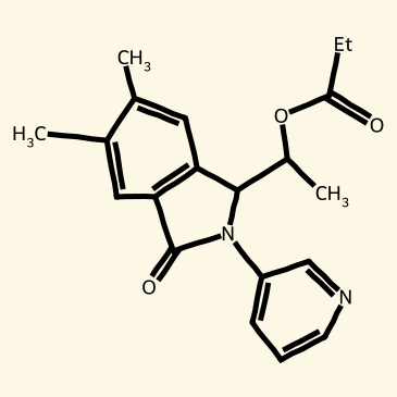 CCC(=O)OC(C)C1c2cc(C)c(C)cc2C(=O)N1c1cccnc1